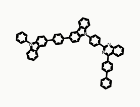 c1ccc(-c2ccc(-c3nc(-c4ccc(-n5c6ccccc6c6cc(-c7ccc(-c8ccc9c(c8)c8ccccc8n9-c8ccccc8)cc7)ccc65)cc4)nc4ccccc34)cc2)cc1